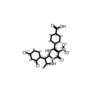 CC1NN2C(=O)C([N+](=O)[O-])=C(C3CCC(C(=O)O)CC3)NC2C1C1CCC(Cl)CC1Cl